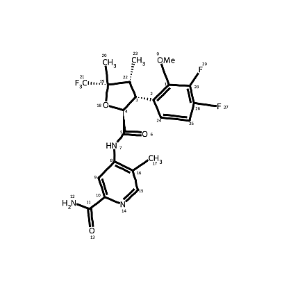 COc1c([C@@H]2[C@@H](C(=O)Nc3cc(C(N)=O)ncc3C)O[C@](C)(C(F)(F)F)[C@@H]2C)ccc(F)c1F